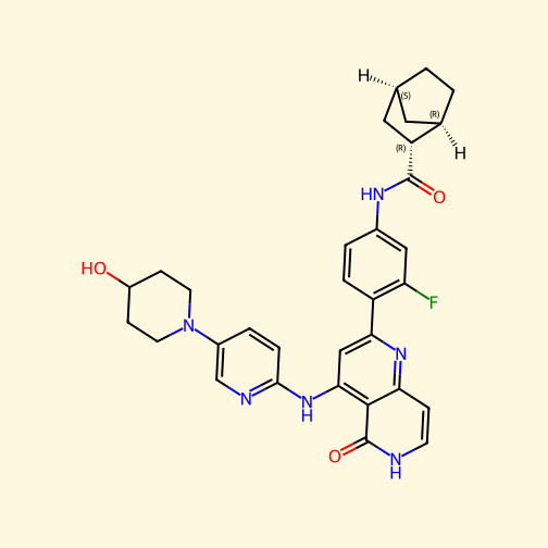 O=C(Nc1ccc(-c2cc(Nc3ccc(N4CCC(O)CC4)cn3)c3c(=O)[nH]ccc3n2)c(F)c1)[C@@H]1C[C@H]2CC[C@@H]1C2